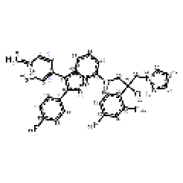 C=N/C=C\C(=C/C)c1c(-c2ccc(F)cc2)nn2c(OCC(O)(Cn3cncn3)c3ccc(F)cc3F)cccc12